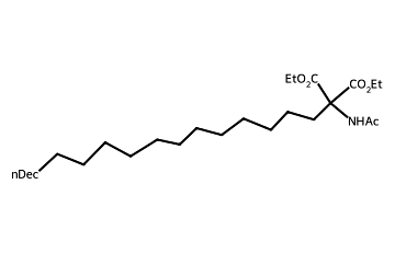 CCCCCCCCCCCCCCCCCCCCCCC(NC(C)=O)(C(=O)OCC)C(=O)OCC